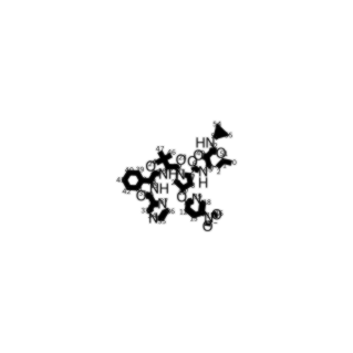 CCC[C@H](NC(=O)[C@@H]1C[C@@H](Oc2ccc([N+](=O)[O-])cn2)CN1C(=O)[C@@H](NC(=O)[C@@H](NC(=O)c1cnccn1)C1CCCCC1)C(C)(C)C)C(=O)C(=O)NC1CC1